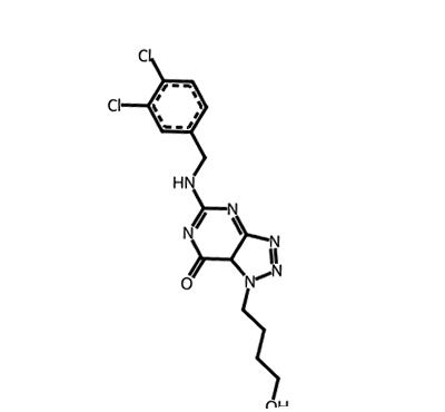 O=C1N=C(NCc2ccc(Cl)c(Cl)c2)N=C2N=NN(CCCCO)C12